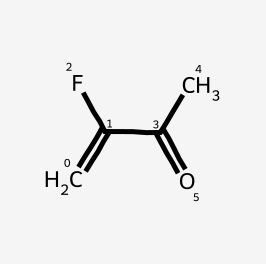 C=C(F)C(C)=O